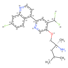 CC(C)C[C@](C)(N)COc1cnc(-c2ccnc3cc(F)ccc23)cc1C(F)F